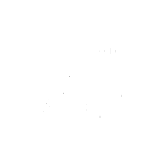 Br.CCOC(=O)c1nc(N)sc1C